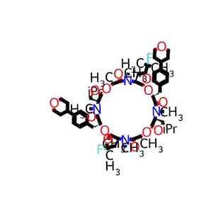 CC(C)C[C@H]1C(=O)O[C@H](C)C(=O)N(C)[C@@H](CCC(C)(C)F)C(=O)O[C@H](Cc2ccc(C3CCOCC3)cc2)C(=O)N(C)[C@@H](CC(C)C)C(=O)O[C@H](C)C(=O)N(C)[C@@H](CC(C)(C)F)C(=O)O[C@H](Cc2ccc(C3CCOCC3)cc2)C(=O)N1C